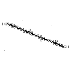 O=C(CCSCSCCC[S+]([O-])CCSCSCCSC(=O)CCSCSCCCOOCCSCO)OCCSCO